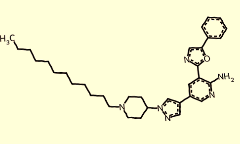 CCCCCCCCCCCCN1CCC(n2cc(-c3cnc(N)c(-c4ncc(-c5ccccc5)o4)c3)cn2)CC1